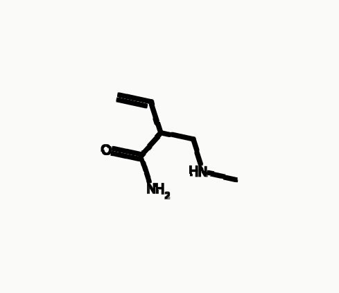 C=CC(CNC)C(N)=O